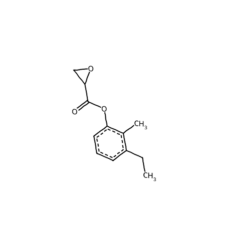 CCc1cccc(OC(=O)C2CO2)c1C